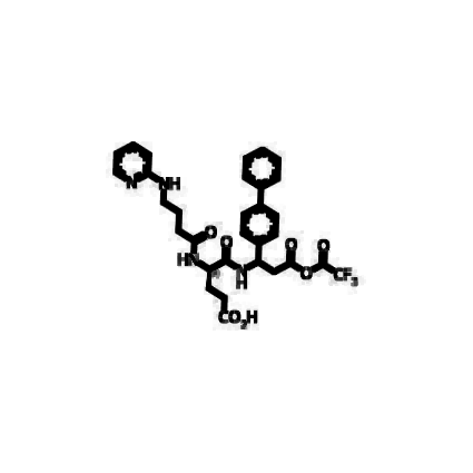 O=C(O)CC[C@@H](NC(=O)CCCNc1ccccn1)C(=O)NC(CC(=O)OC(=O)C(F)(F)F)c1ccc(-c2ccccc2)cc1